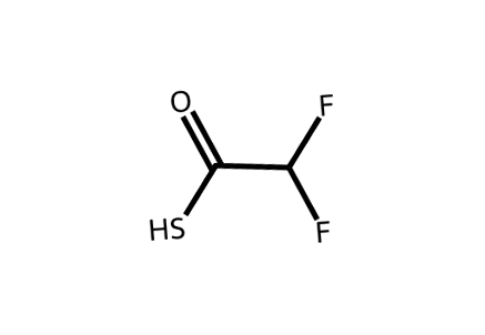 O=C(S)C(F)F